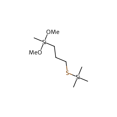 CO[Si](C)(CCCS[Si](C)(C)C)OC